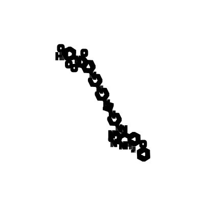 Nc1ncnc2c1c(-c1ccc(Oc3ccccc3)cc1)nn2C1CCN(C2CN(C3CCN(C4CCN(c5ccc6c(c5)C(=O)N(C5CCC(=O)NC5=O)C6=O)CC4)CC3)C2)CC1